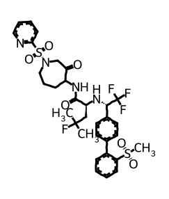 CC(C)(F)C[C@H](N[C@@H](c1ccc(-c2ccccc2S(C)(=O)=O)cc1)C(F)(F)F)C(=O)NC1CCCN(S(=O)(=O)c2ccccn2)CC1=O